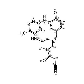 Cc1cnc(Nc2cc(Cl)c[nH]c2=O)nc1NC1CCCN(C(=O)CC#N)C1